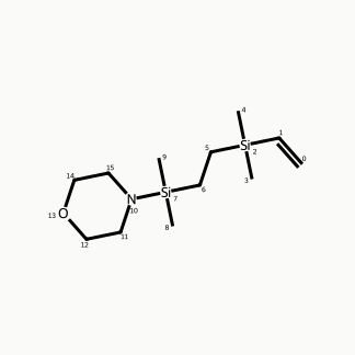 C=C[Si](C)(C)CC[Si](C)(C)N1CCOCC1